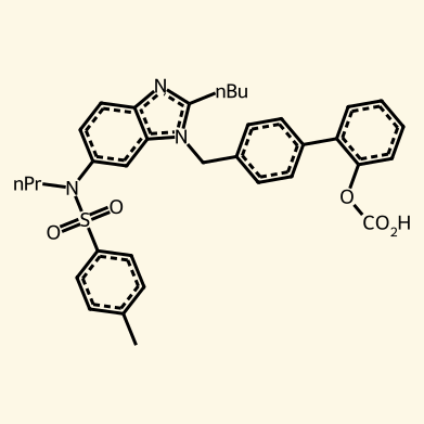 CCCCc1nc2ccc(N(CCC)S(=O)(=O)c3ccc(C)cc3)cc2n1Cc1ccc(-c2ccccc2OC(=O)O)cc1